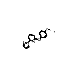 FC(F)(F)Oc1ccc(Nc2cccc(-n3cccn3)n2)cc1